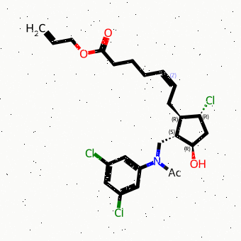 C=CCOC(=O)CCC/C=C\C[C@@H]1[C@@H](CN(C(C)=O)c2cc(Cl)cc(Cl)c2)[C@H](O)C[C@H]1Cl